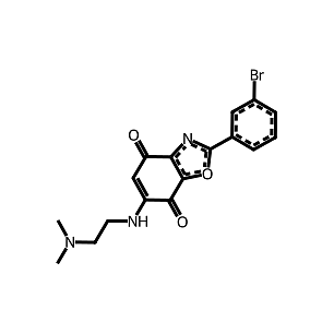 CN(C)CCNC1=CC(=O)c2nc(-c3cccc(Br)c3)oc2C1=O